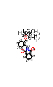 CC(C)(C)[Si](C)(C)OCC1=C(CN2C(=O)c3ccccc3C2=O)CCCC1